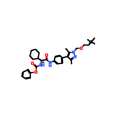 Cc1nn(COCC[Si](C)(C)C)c(C)c1-c1ccc(NC(=O)[C@@H](NC(=O)Oc2ccccc2)C2CCCCC2)cc1